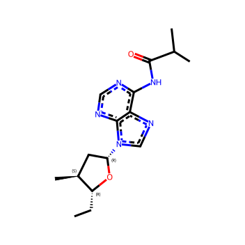 CC[C@H]1O[C@@H](n2cnc3c(NC(=O)C(C)C)ncnc32)C[C@@H]1C